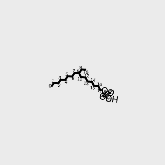 CCCCCCCCC(CC)CCCCCCCOS(=O)(=O)O